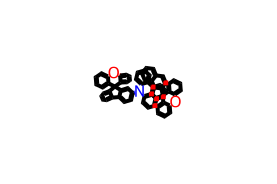 c1ccc(-c2ccccc2N(c2ccc3c(c2)C2(c4ccccc4Oc4ccccc42)c2ccccc2-3)c2cccc3c2-c2c(ccc4ccccc24)C32c3ccccc3Oc3ccccc32)cc1